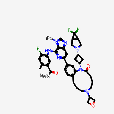 CNC(=O)c1cc(Nc2nc(-c3ccc4c(c3)N([C@H]3C[C@@H](N5CC6C(C5)C6(F)F)C3)C(=O)CCCN(C3COC3)CCC4)cc3ncn(C(C)C)c23)c(F)cc1C